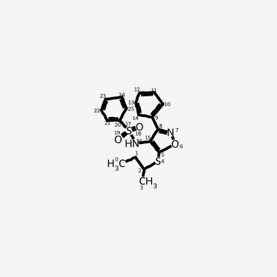 CCC(C)Sc1onc(-c2ccccc2)c1NS(=O)(=O)c1ccccc1